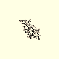 CCCCC(=O)O[C@@]1(C(=O)CO)CC[C@H]2[C@@H]3CC(C)(F)C4=CC(=O)C=C[C@]4(C)[C@@]3(Br)[C@@H](O)C[C@@]21C